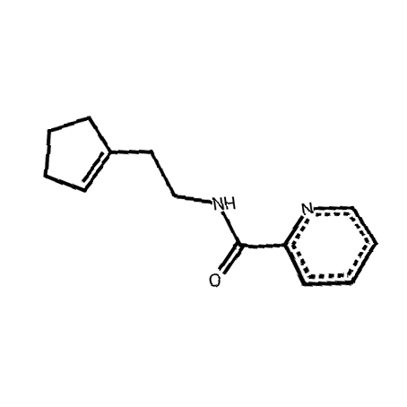 O=C(NCCC1=CCCC1)c1ccccn1